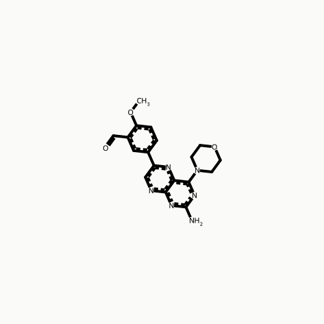 COc1ccc(-c2cnc3nc(N)nc(N4CCOCC4)c3n2)cc1C=O